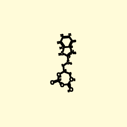 O=C1OCC(CSc2nc3ccccc3s2)OC(=O)O1